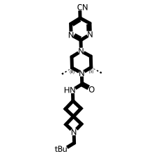 C[C@@H]1CN(c2ncc(C#N)cn2)C[C@H](C)N1C(=O)NC1CC2(C1)CN(CC(C)(C)C)C2